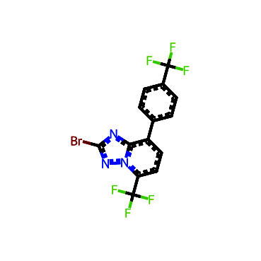 FC(F)(F)c1ccc(-c2ccc(C(F)(F)F)n3nc(Br)nc23)cc1